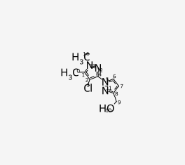 Cc1c(Cl)c(-n2ccc(CO)n2)nn1C